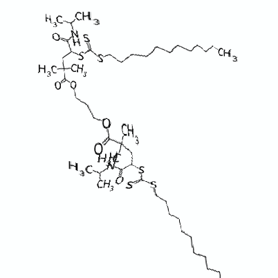 CCCCCCCCCCCCSC(=S)SC(CC(C)(C)C(=O)OCCCOC(=O)C(C)(C)CC(SC(=S)SCCCCCCCCCCCC)C(=O)NC(C)C)C(=O)NC(C)C